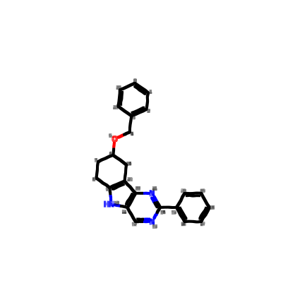 c1ccc(COC2CCc3[nH]c4cnc(-c5ccccc5)nc4c3C2)cc1